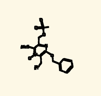 CSc1c(COS(C)(=O)=O)nc(OCc2ccccc2)c(CC(C)C)[n+]1[O-]